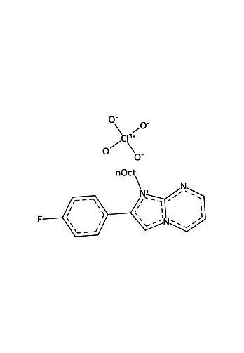 CCCCCCCC[n+]1c(-c2ccc(F)cc2)cn2cccnc21.[O-][Cl+3]([O-])([O-])[O-]